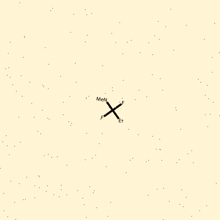 CCC(F)(F)NC